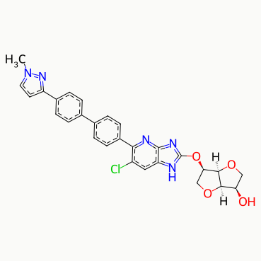 Cn1ccc(-c2ccc(-c3ccc(-c4nc5nc(O[C@@H]6CO[C@H]7[C@@H]6OC[C@H]7O)[nH]c5cc4Cl)cc3)cc2)n1